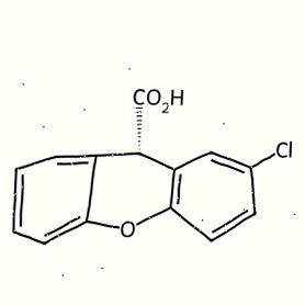 O=C(O)[C@H]1c2ccccc2Oc2ccc(Cl)cc21